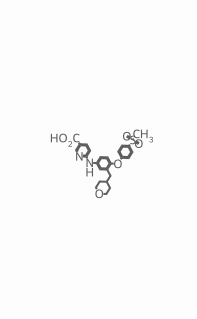 CS(=O)(=O)c1ccc(Oc2ccc(Nc3ccc(C(=O)O)cn3)cc2CC2CCOCC2)cc1